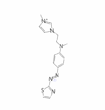 CN(CCn1cc[n+](C)c1)c1ccc(/N=N/c2nccs2)cc1